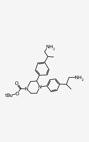 CC(CN)c1ccc(C2CN(C(=O)OC(C)(C)C)CCN2c2ccc(C(C)CN)cc2)cc1